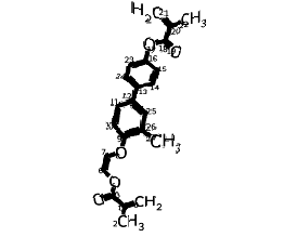 C=C(C)C(=O)O/C=C\Oc1ccc(-c2ccc(OC(=O)C(=C)C)cc2)cc1C